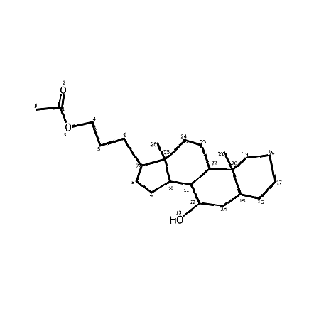 CC(=O)OCCCC1CCC2C3C(O)CC4CCCCC4(C)C3CCC12C